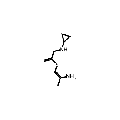 C=C(CNC1CC1)S/C=C(/C)N